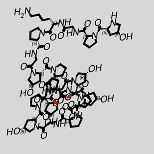 NCCCC[C@H](NC(=O)CNC(=O)[C@@H]1CCCN1C(=O)[C@@H]1C[C@@H](O)CN1)C(=O)N1CCC[C@H]1C(=O)NCC(=O)N1C[C@H](O)C[C@H]1C(=O)N1CCC[C@H]1C(=O)NCC(=O)N1C[C@H](O)C[C@H]1C(=O)N1CCC[C@H]1C(=O)NCC(=O)N1C[C@H](O)C[C@H]1C(=O)N1CCC[C@H]1C(=O)NCC(=O)N1C[C@H](O)C[C@H]1C(=O)N1CCC[C@H]1C(=O)NCC(=O)N1C[C@H](O)C[C@H]1C(=O)N1CCC[C@H]1C(=O)O